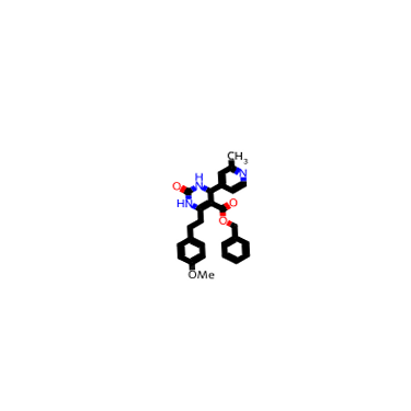 COc1ccc(CCC2=C(C(=O)OCc3ccccc3)C(c3ccnc(C)c3)NC(=O)N2)cc1